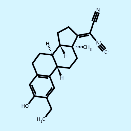 [C-]#[N+]/C(C#N)=C1/CC[C@H]2[C@@H]3CCc4cc(O)c(CC)cc4[C@H]3CC[C@]12C